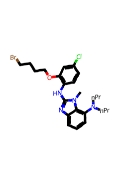 CCCN(CCC)c1cccc2nc(Nc3ccc(Cl)cc3OCCCCBr)n(C)c12